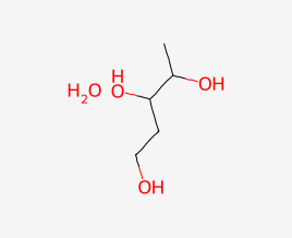 CC(O)C(O)CCO.O